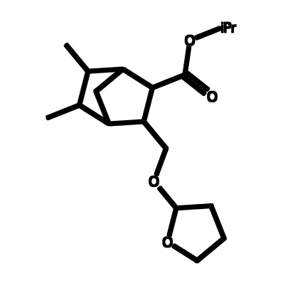 CC(C)OC(=O)C1C2CC(C(C)C2C)C1COC1CCCO1